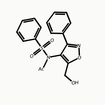 CC(=O)N(c1c(-c2ccccc2)noc1CO)S(=O)(=O)c1ccccc1